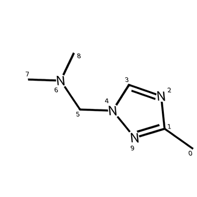 Cc1ncn(CN(C)C)n1